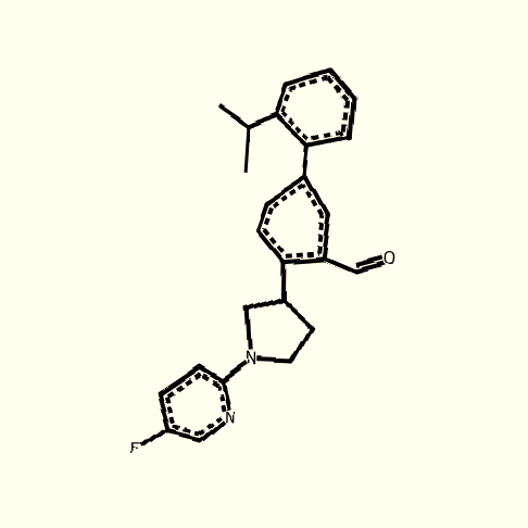 CC(C)c1ccccc1-c1ccc(C2CCN(c3ccc(F)cn3)C2)c(C=O)c1